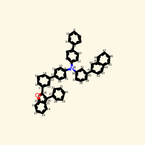 c1ccc(-c2ccc(N(c3ccc(-c4cccc(-c5oc6ccccc6c5-c5ccccc5)c4)cc3)c3cccc(-c4ccc5ccccc5c4)c3)cc2)cc1